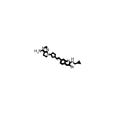 Nc1ncnc2c1CCN2C1CCC(/C=C/c2ccc3cc(Br)c(NCC4CC4)nc3c2)C1